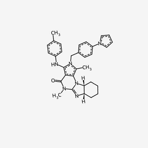 Cc1ccc(Nc2c3c(c(C)n2Cc2ccc(-n4cccc4)cc2)N2C(=N[C@H]4CCCC[C@H]42)N(C)C3=O)cc1